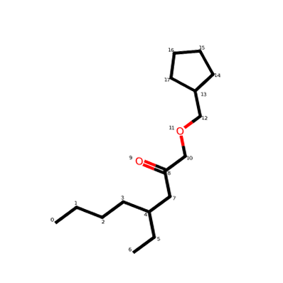 CCCCC(CC)CC(=O)COCC1CCCC1